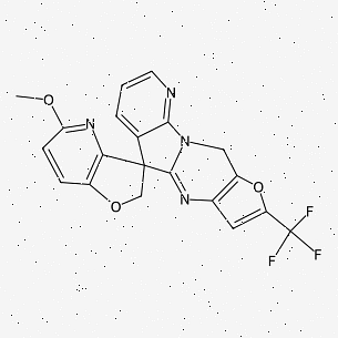 COc1ccc2c(n1)C1(CO2)C2=Nc3cc(C(F)(F)F)oc3CN2c2ncccc21